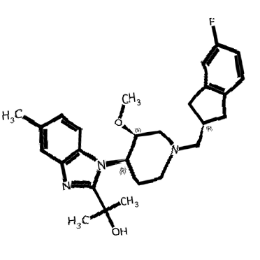 CO[C@H]1CN(C[C@@H]2Cc3ccc(F)cc3C2)CC[C@H]1n1c(C(C)(C)O)nc2cc(C)ccc21